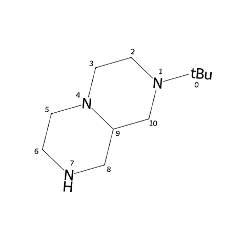 CC(C)(C)N1CCN2CCNCC2C1